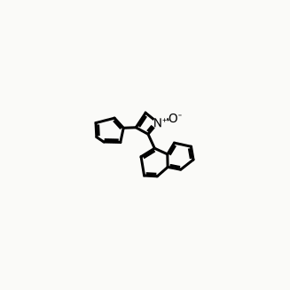 [O-][N+]1=C(c2cccc3ccccc23)C(c2ccccc2)=C1